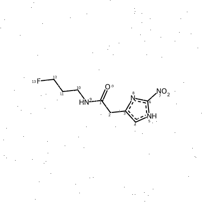 O=C(Cc1c[nH]c([N+](=O)[O-])n1)NCCCF